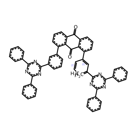 C=C(/C=C(\C=C/C)c1cccc2c1C(=O)c1c(cccc1-c1cccc(-c3nc(-c4ccccc4)nc(-c4ccccc4)n3)c1)C2=O)c1nc(-c2ccccc2)nc(-c2ccccc2)n1